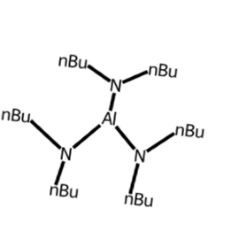 CCCC[N](CCCC)[Al]([N](CCCC)CCCC)[N](CCCC)CCCC